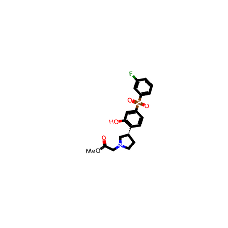 COC(=O)CN1CC[C@@H](c2ccc(S(=O)(=O)c3cccc(F)c3)cc2O)C1